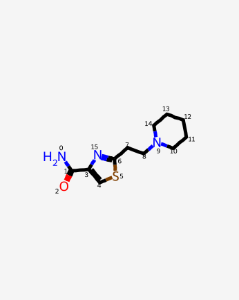 NC(=O)c1csc(CCN2CCCCC2)n1